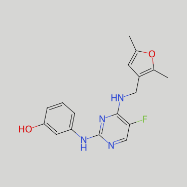 Cc1cc(CNc2nc(Nc3cccc(O)c3)ncc2F)c(C)o1